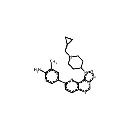 Cc1cc(-c2ccc3ncc4nnn(C5CCN(CC6CC6)CC5)c4c3n2)cnc1N